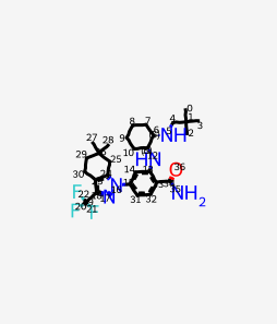 CC(C)(C)CN[C@H]1CCCC[C@@H]1Nc1cc(-n2nc(C(F)(F)F)c3c2CC(C)(C)CC3)ccc1C(N)=O